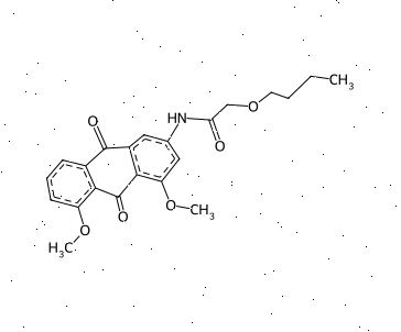 CCCCOCC(=O)Nc1cc(OC)c2c(c1)C(=O)c1cccc(OC)c1C2=O